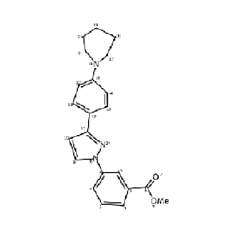 COC(=O)c1cccc(-n2ccc(-c3ccc(N4CCCCC4)cc3)n2)c1